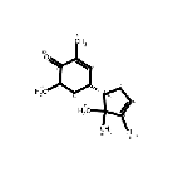 CC1=CC([C@@H]2CC=C(C)C2(C)C)CC(C)C1=O